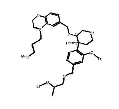 CCOc1cc(COCC(C)OCC)ccc1[C@@]1(O)CCNC[C@@H]1OCc1ccc2c(c1)N(CCCOC)CCO2